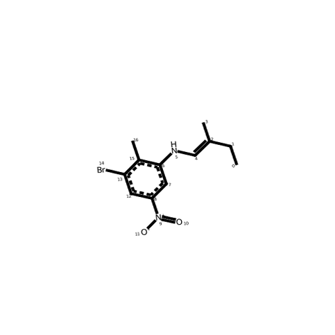 CC/C(C)=C/Nc1cc([N+](=O)[O-])cc(Br)c1C